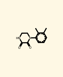 Cc1cccc(N2CCNC(=O)C2=O)c1C